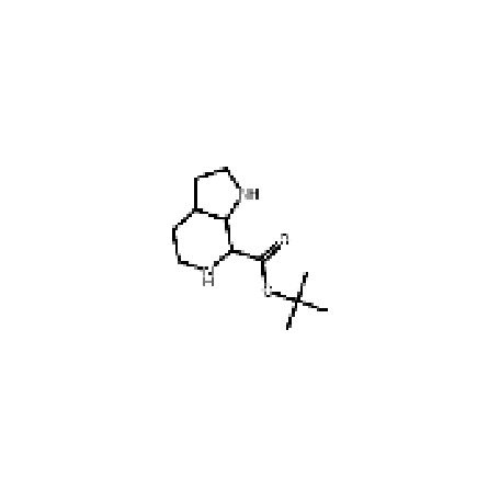 CC(C)(C)OC(=O)C1NCCC2CCNC21